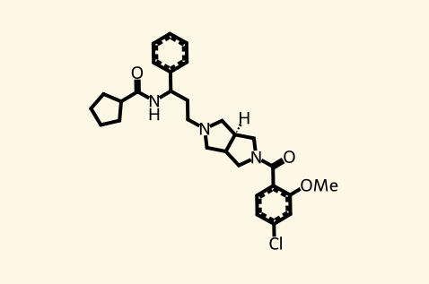 COc1cc(Cl)ccc1C(=O)N1CC2CN(CCC(NC(=O)C3CCCC3)c3ccccc3)C[C@H]2C1